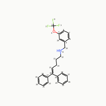 FC(F)(F)Oc1cccc(CNCCCC=C(c2ccccc2)c2ccccc2)c1